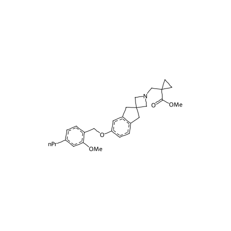 CCCc1ccc(COc2ccc3c(c2)CC2(C3)CN(CC3(C(=O)OC)CC3)C2)c(OC)c1